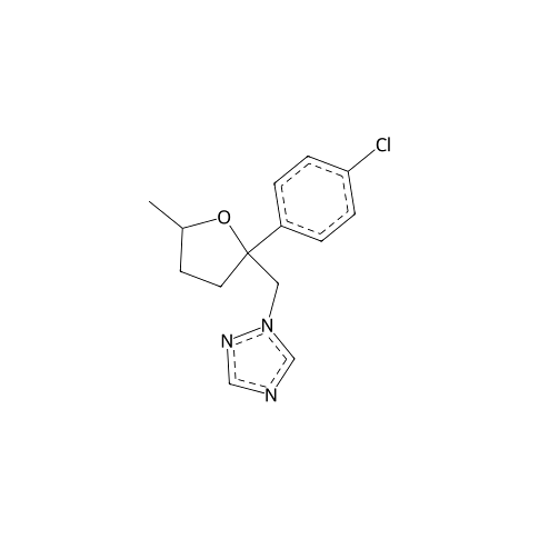 CC1CCC(Cn2cncn2)(c2ccc(Cl)cc2)O1